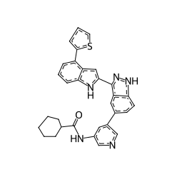 O=C(Nc1cncc(-c2ccc3[nH]nc(-c4cc5c(-c6cccs6)cccc5[nH]4)c3c2)c1)C1CCCCC1